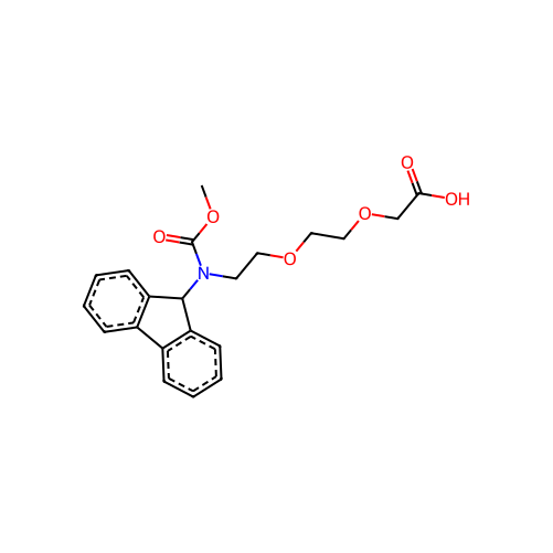 COC(=O)N(CCOCCOCC(=O)O)C1c2ccccc2-c2ccccc21